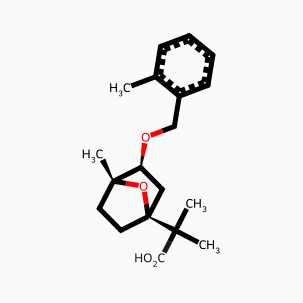 Cc1ccccc1CO[C@H]1C[C@]2(C(C)(C)C(=O)O)CC[C@@]1(C)O2